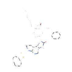 Cn1c(=O)n(C2CCC(CCCO[Si](C)(C)C(C)(C)C)(NC(=O)OCc3ccccc3)CC2)c2c3ccn(S(=O)(=O)c4ccccc4)c3ncc21